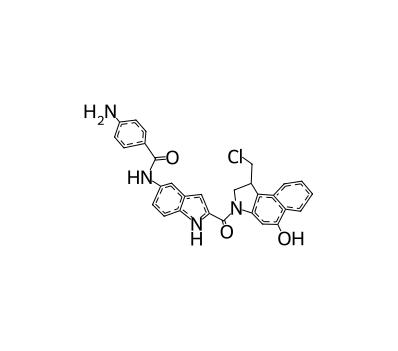 Nc1ccc(C(=O)Nc2ccc3[nH]c(C(=O)N4CC(CCl)c5c4cc(O)c4ccccc54)cc3c2)cc1